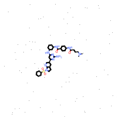 CN(C)C/C=C/C(=O)Nc1ccc(C(=O)Nc2cccc(Nc3cc(-c4cnc5c(ccn5S(=O)(=O)c5ccccc5)c4)nc(N)n3)c2)cc1